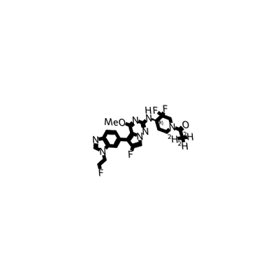 [2H]C([2H])([2H])C(=O)N1CC[C@@H](Nc2nc(OC)c3c(-c4ccc5ncn(CCF)c5c4)c(F)cn3n2)C(F)(F)C1